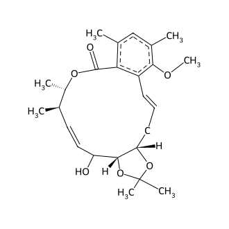 COc1c(C)cc(C)c2c1/C=C/C[C@@H]1OC(C)(C)O[C@@H]1C(O)/C=C\[C@@H](C)[C@H](C)OC2=O